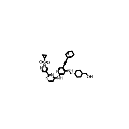 O=S(=O)(C1CC1)n1cc(-c2nccc(Nc3cc(NC[C@H]4CC[C@H](CO)CC4)c(C#CC4CC5CCC4O5)cn3)n2)cn1